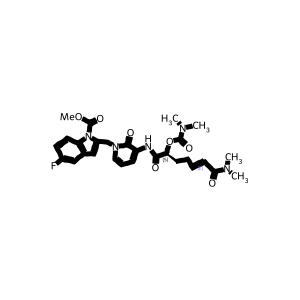 COC(=O)n1c(Cn2cccc(NC(=O)[C@H](CC/C=C/C(=O)N(C)C)OC(=O)N(C)C)c2=O)cc2cc(F)ccc21